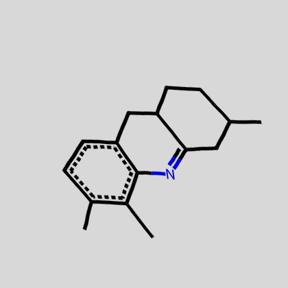 Cc1ccc2c(c1C)N=C1CC(C)CCC1C2